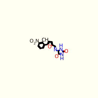 Cc1c(-c2ccc(C=N[C@H]3NC(=O)NC3=O)o2)cccc1[N+](=O)[O-]